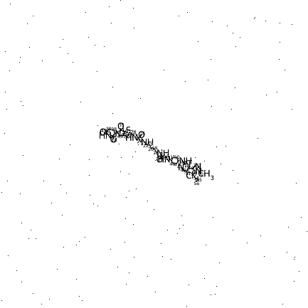 Cn1ncc(-c2nc(N[C@H]3CC[C@H](NCC(=O)NCCCCCNCC(=O)NCc4cc5c(s4)C(=O)N(C4CCC(=O)NC4=O)C5)CC3)ncc2Cl)c1CC1CC1